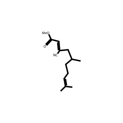 COC(=O)/C=C(\C#N)CC(C)CCC=C(C)C